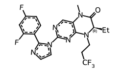 CC[C@@H]1C(=O)N(C)c2cnc(-n3ccnc3-c3ccc(F)cc3F)nc2N1CCC(F)(F)F